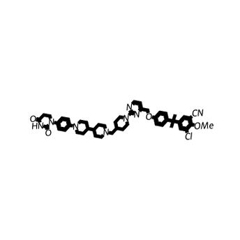 COc1c(Cl)cc(C(C)(C)c2ccc(OCc3ccnc(N4CCC(CN5CCC(C6CCN(c7ccc(N8CCC(=O)NC8=O)cc7)CC6)CC5)CC4)n3)cc2)cc1C#N